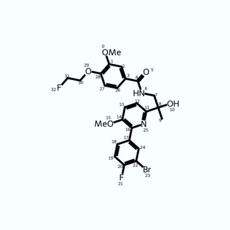 COc1cc(C(=O)NCC(C)(O)c2ccc(OC)c(-c3ccc(F)c(Br)c3)n2)ccc1OCCF